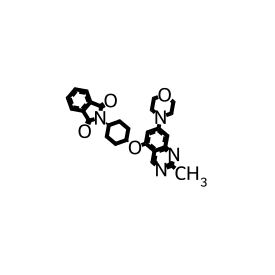 Cc1ncc2c(O[C@H]3CC[C@@H](N4C(=O)c5ccccc5C4=O)CC3)cc(N3CCOCC3)cc2n1